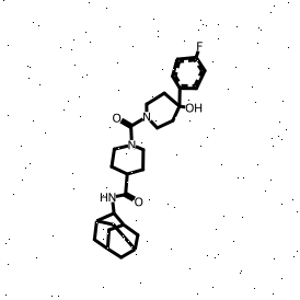 O=C(NC1C2CC3CC(C2)CC1C3)C1CCN(C(=O)N2CCC(O)(c3ccc(F)cc3)CC2)CC1